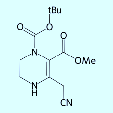 COC(=O)C1=C(CC#N)NCCN1C(=O)OC(C)(C)C